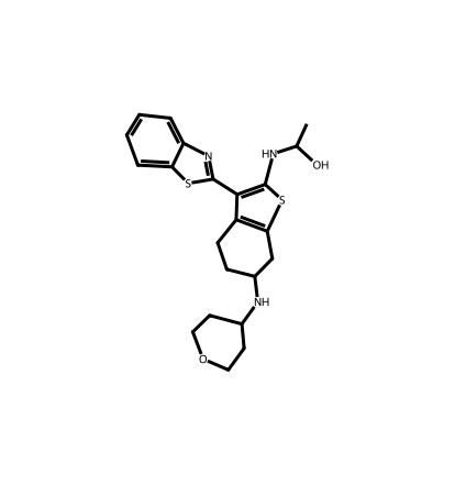 CC(O)Nc1sc2c(c1-c1nc3ccccc3s1)CCC(NC1CCOCC1)C2